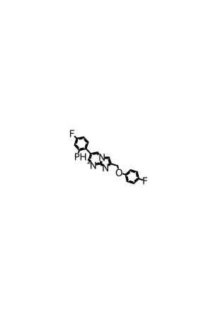 Fc1ccc(OCc2cn3cc(-c4ccc(F)cc4P)cnc3n2)cc1